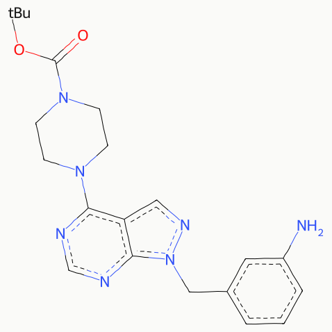 CC(C)(C)OC(=O)N1CCN(c2ncnc3c2cnn3Cc2cccc(N)c2)CC1